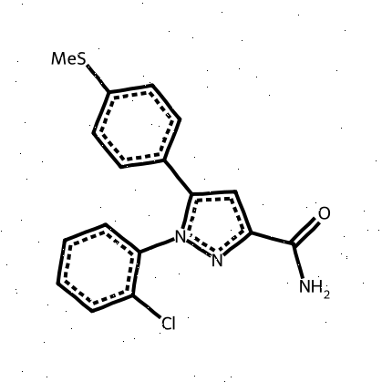 CSc1ccc(-c2cc(C(N)=O)nn2-c2ccccc2Cl)cc1